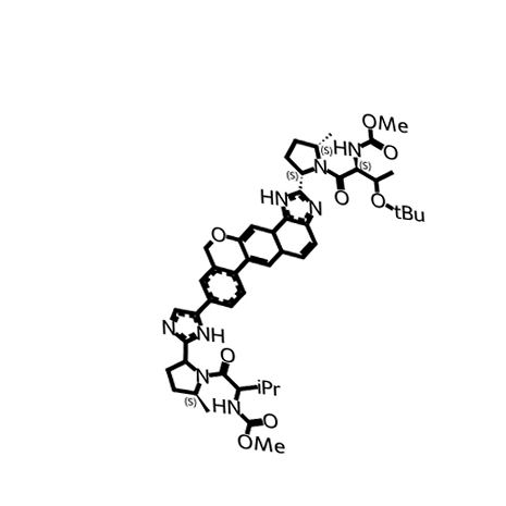 COC(=O)NC(C(=O)N1C(c2ncc(-c3ccc4c(c3)COC3=CC5c6[nH]c([C@@H]7CC[C@H](C)N7C(=O)[C@@H](NC(=O)OC)C(C)OC(C)(C)C)nc6C=CC5C=C34)[nH]2)CC[C@@H]1C)C(C)C